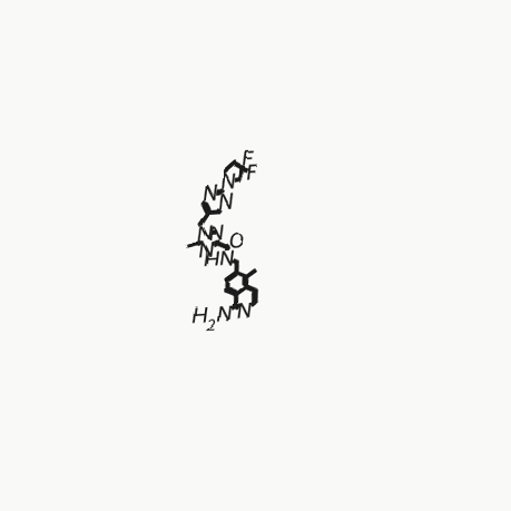 Cc1c(CNC(=O)c2nc(C)n(Cc3cnc(N4CCC(F)(F)C4)nc3)n2)ccc2c(N)nccc12